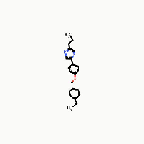 CCCc1cnc(-c2ccc(OC[C@H]3CC[C@H](CC)CC3)cc2)cn1